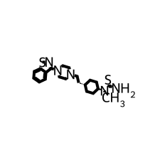 CN(C(N)=S)[C@H]1CC[C@H](CCN2CCN(c3nsc4ccccc34)CC2)CC1